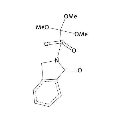 COC(OC)(OC)S(=O)(=O)N1Cc2ccccc2C1=O